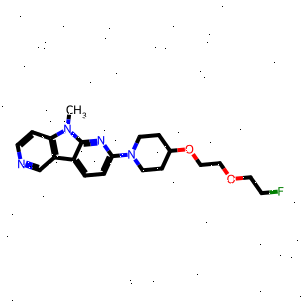 Cn1c2ccncc2c2ccc(N3CCC(OCCOCCF)CC3)nc21